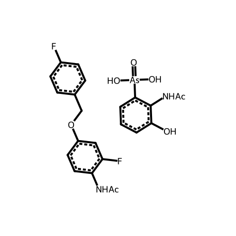 CC(=O)Nc1c(O)cccc1[As](=O)(O)O.CC(=O)Nc1ccc(OCc2ccc(F)cc2)cc1F